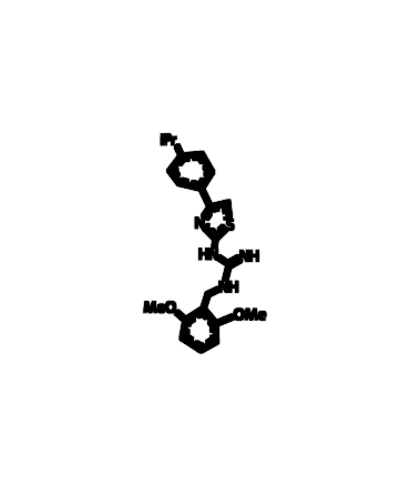 COc1cccc(OC)c1CNC(=N)Nc1nc(-c2ccc(C(C)C)cc2)cs1